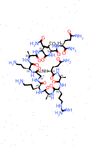 CC(=O)N[C@@H](CCC(N)=O)C(=O)N[C@@H](C)C(=O)N[C@@H](CCCNC(=N)N)C(=O)N[C@@H](C)C(=O)N[C@@H](CCCN)C(=O)N[C@@H](C)C(=O)N[C@@H](CCCN)C(=O)N[C@@H](C)C(=O)N[C@@H](CCC(=O)O)C(=O)N[C@@H](CCC(N)=O)C(=O)N[C@@H](CCC(N)=O)C(N)=O